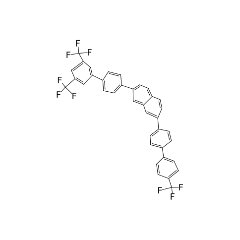 FC(F)(F)c1ccc(-c2ccc(-c3ccc4ccc(-c5ccc(-c6cc(C(F)(F)F)cc(C(F)(F)F)c6)cc5)cc4c3)cc2)cc1